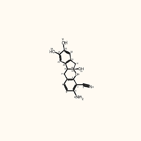 N#Cc1c(N)ccc2c1O[C@@]1(O)Cc3cc(O)c(O)cc3C1C2